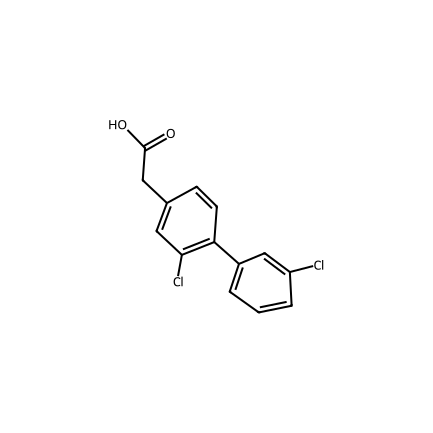 O=C(O)Cc1ccc(-c2cccc(Cl)c2)c(Cl)c1